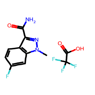 Cn1nc(C(N)=O)c2ccc(F)cc21.O=C(O)C(F)(F)F